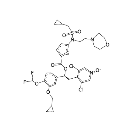 O=C(O[C@@H](Cc1c(Cl)c[n+]([O-])cc1Cl)c1ccc(OC(F)F)c(OCC2CC2)c1)c1ccc(N(CCN2CCOCC2)S(=O)(=O)CC2CC2)s1